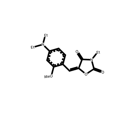 CCN1C(=O)O/C(=C/c2ccc(N(CC)CC)cc2OC)C1=O